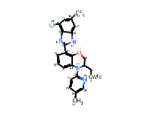 COCC1COc2c(-c3nc4c(Cl)cc(C(F)(F)F)cc4[nH]3)cccc2N1c1ccc(C)cn1